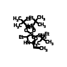 C=CC(=O)NC(CC)[Si](O[SiH2]C(C)(C)CC)(O[SiH2]C(C)(C)CC)O[SiH2]C(C)(C)CC